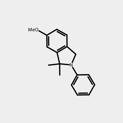 COc1ccc2c(c1)C(C)(C)N(c1ccccc1)C2